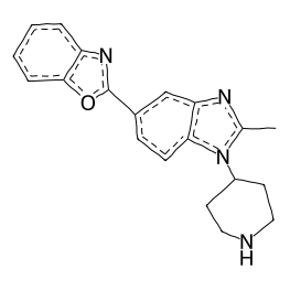 Cc1nc2cc(-c3nc4ccccc4o3)ccc2n1C1CCNCC1